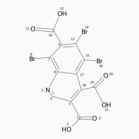 O=C(O)c1cnc2c(Br)c(C(=O)O)c(Br)c(Br)c2c1C(=O)O